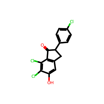 O=C1c2c(cc(O)c(Cl)c2Cl)CC1c1ccc(Cl)cc1